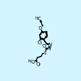 C#CCOc1ccc(-c2nnc(SCCCC(=O)O)o2)c(Cl)c1